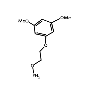 COc1cc(OC)cc(OCCOP)c1